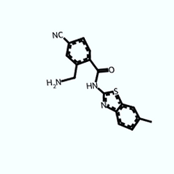 Cc1ccc2nc(NC(=O)c3ccc(C#N)cc3CN)sc2c1